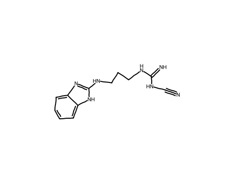 N#CNC(=N)NCCCNc1nc2ccccc2[nH]1